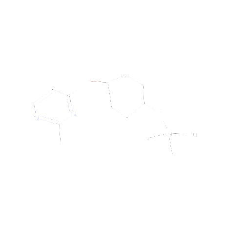 Cc1nccc(OC2CCC(O[Si](C)(C)C(C)(C)C)CC2)n1